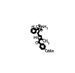 COc1ccc(C(=O)c2[nH]c(CCC(C)(c3ccccc3)S(N)(=O)=O)cc2C)cc1